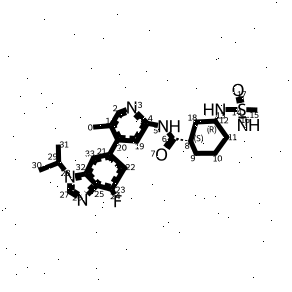 Cc1cnc(NC(=O)[C@H]2CCC[C@@H](NS(C)(=N)=O)C2)cc1-c1cc(F)c2ncn(C(C)C)c2c1